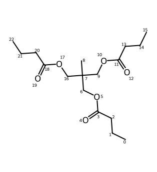 CCCC(=O)OCC(C)(COC(=O)CCC)COC(=O)CCC